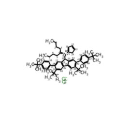 CCCC[C](CCCC)=[Zr+2]([C]1=CC=CC1)[CH]1c2cc(-c3ccc(C(C)(C)C)cc3)c(C(C)(C)C)cc2-c2cc(C(C)(C)C)c(-c3ccc(C(C)(C)C)cc3)cc21.[Cl-].[Cl-]